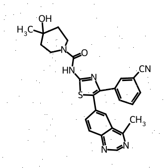 Cc1ncnc2ccc(-c3sc(NC(=O)N4CCC(C)(O)CC4)nc3-c3cccc(C#N)c3)cc12